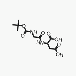 CC(C)(C)OC(=O)NCC(=O)NC(CC(=O)O)C(=O)O